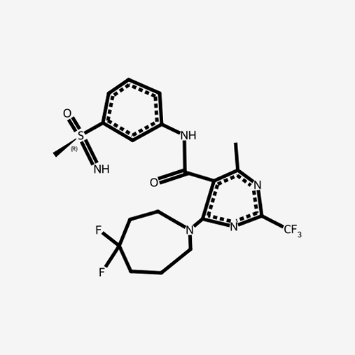 Cc1nc(C(F)(F)F)nc(N2CCCC(F)(F)CC2)c1C(=O)Nc1cccc([S@](C)(=N)=O)c1